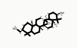 CC1(C)C2CC[C@]3(C)C(CC[C@]45O[C@@]43CC[C@H]3C(C)(C)[C@H](O)CC[C@@]35C)[C@@]2(C)CC[C@@H]1CO